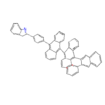 c1ccc(-c2cc3ccccc3cc2-c2c3ccccc3c(-c3c4ccccc4c(-c4ccc(C5=Nc6ccccc6C5)cc4)c4ccccc34)c3ccccc23)cc1